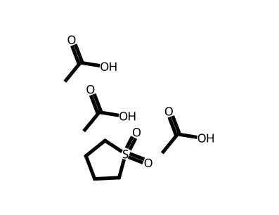 CC(=O)O.CC(=O)O.CC(=O)O.O=S1(=O)CCCC1